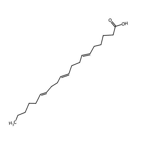 CCCCCC=CCCC=CCCC=CCCCCC(=O)O